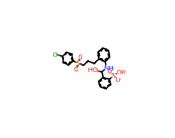 O=S(=O)(O)c1ccccc1C(O)Nc1ccccc1CCCS(=O)(=O)c1ccc(Cl)cc1